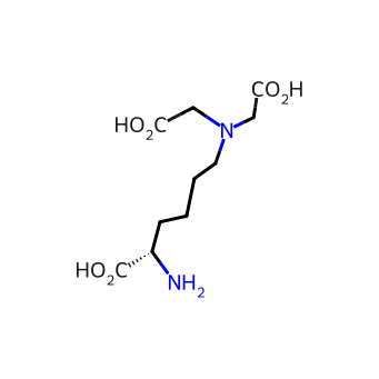 N[C@@H](CCCCN(CC(=O)O)CC(=O)O)C(=O)O